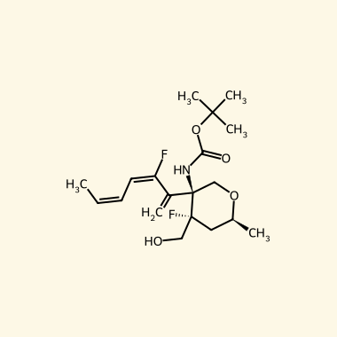 C=C(/C(F)=C\C=C/C)[C@]1(NC(=O)OC(C)(C)C)CO[C@@H](C)C[C@@]1(F)CO